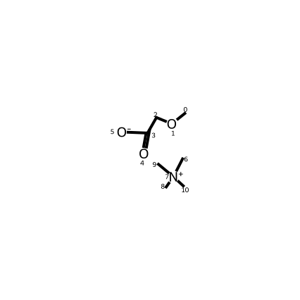 COCC(=O)[O-].C[N+](C)(C)C